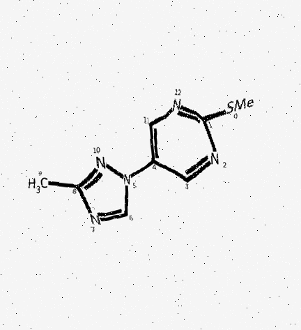 CSc1ncc(-n2cnc(C)n2)cn1